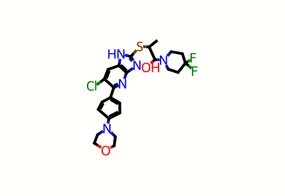 CC(Sc1nc2nc(-c3ccc(N4CCOCC4)cc3)c(Cl)cc2[nH]1)C(O)N1CCC(F)(F)CC1